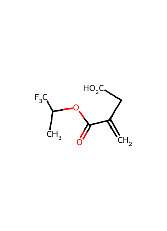 C=C(CC(=O)O)C(=O)OC(C)C(F)(F)F